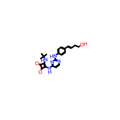 CC(C)(C)Nc1c(Nc2ccnc(Nc3ccc(C=CCCO)cc3)n2)c(=O)c1=O